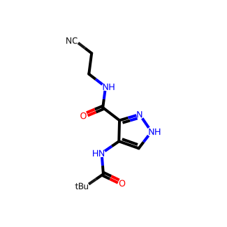 CC(C)(C)C(=O)Nc1c[nH]nc1C(=O)NCCC#N